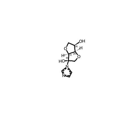 O[C@@H]1CO[C@H]2[C@@H]1OC[C@]2(O)n1ccnc1